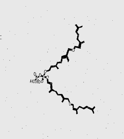 CC(C)=CCC/C(C)=C\COC/C(C)=C/CC/C(C)=C/COP(=O)(OC/C=C(\C)CC/C=C(\C)COC/C=C(/C)CCC=C(C)C)OP(=O)(O)O